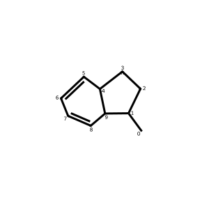 CC1C[C]C2C=CC=CC21